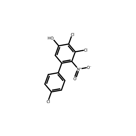 O=[N+]([O-])c1c(-c2ccc(Cl)cc2)cc(O)c(Cl)c1Cl